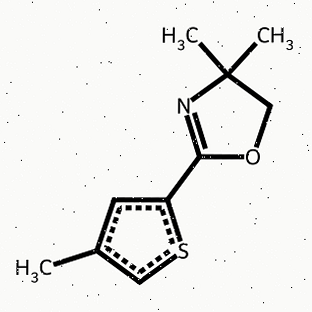 Cc1csc(C2=NC(C)(C)CO2)c1